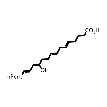 CCCCCC=CCC(O)CCC=CCC=CCCCC(=O)O